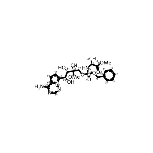 COC(=O)[C@H](C)NP(=O)(OCc1ccccc1)OC[C@@](C#N)(OC)[C@@H](O)[C@@H](O)c1ccc2c(N)ncnn12